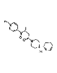 CC(=O)C1(c2ccccc2)CCN(C(=O)CN(C)C(=O)c2ccc(C(C)C)cc2)CC1